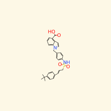 CC(C)(C)c1ccc(C=CCS(=O)(=O)Nc2ccc(Cn3ccc4c(C(=O)O)cccc43)cc2)cc1